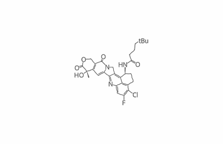 CC(C)(C)CCCC(=O)N[C@H]1CCc2c(Cl)c(F)cc3nc4c(c1c23)Cn1c-4cc2c(c1=O)COC(=O)[C@@]2(C)O